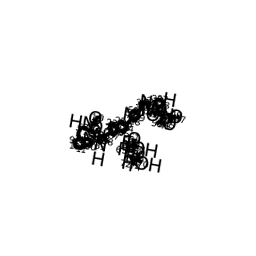 COC(=O)N[C@H]1CCc2cccc3c2N(C1=O)[C@H](c1nc(-c2ccc4cc(-c5ccc(-c6cnc([C@@H]7CCCN7C(=O)[C@@H](NC(=O)OC)C(C)C)[nH]6)cn5)ccc4c2)c[nH]1)C3.O=C(O)C(F)(F)F.O=C(O)C(F)(F)F